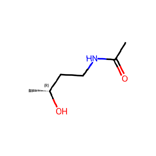 CC(=O)NCC[C@@H](C)O